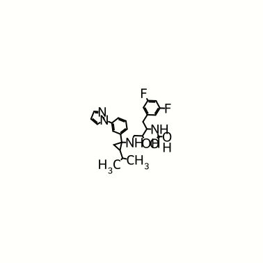 CC(C)C1CC1(NCC(O)C(Cc1cc(F)cc(F)c1)NC(=O)O)c1cccc(-n2cccn2)c1